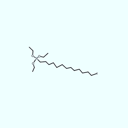 CCO[Si](CCCCCCCCCCCCCI)(OCC)OCC